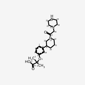 CC(C)(Oc1cccc(C2CCCN(C(=O)CN3CCNCC3)C2)c1)C(=O)O